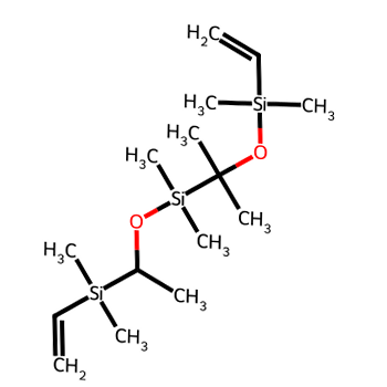 C=C[Si](C)(C)OC(C)(C)[Si](C)(C)OC(C)[Si](C)(C)C=C